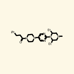 CCC1CN(C)CC(CC)N1c1ncc(N2CCN(C(=O)CCC(C)C)CC2)cn1